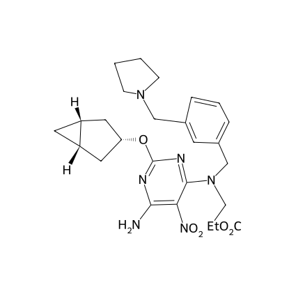 CCOC(=O)CN(Cc1cccc(CN2CCCC2)c1)c1nc(O[C@@H]2C[C@@H]3C[C@@H]3C2)nc(N)c1[N+](=O)[O-]